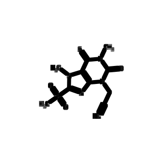 C#CCn1c(=O)n(C)c(=S)c2c1nc(S(C)(=O)=O)n2C